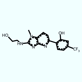 Cn1c(NCCO)nc2nc(-c3ccc(C(F)(F)F)cc3O)ccc21